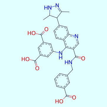 CC1=NNC(C)C1c1ccc2c(Nc3cc(C(=O)O)cc(C(=O)O)c3)c(C(=O)NCc3cccc(C(=O)O)c3)cnc2c1